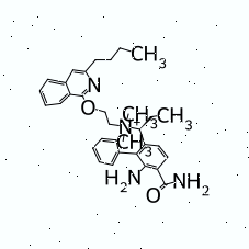 CCCCc1cc2ccccc2c(OCC[N+](C)(C)[C@@H](CC)c2ccc(C(N)=O)c(N)c2-c2ccccc2)n1